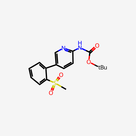 CC(C)(C)OC(=O)Nc1ccc(-c2ccccc2S(C)(=O)=O)cn1